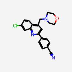 N#Cc1ccc(-c2cc(CN3CCOCC3)c3ccc(Cl)cc3n2)cc1